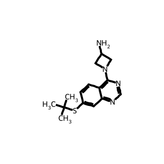 CC(C)(C)Sc1ccc2c(N3CC(N)C3)ncnc2c1